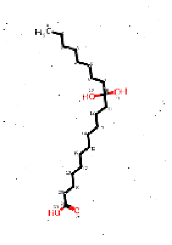 CCCCCCCCC(O)(O)CCCCCCCCCCC(=O)O